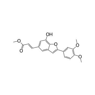 COC(=O)/C=C/c1cc(O)c2oc(-c3ccc(OC)c(OC)c3)cc2c1